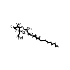 CCCCCCCCCCCCOCC(O)COC1=C(O)C(=O)O[C@@H]1[C@@H](O)CO